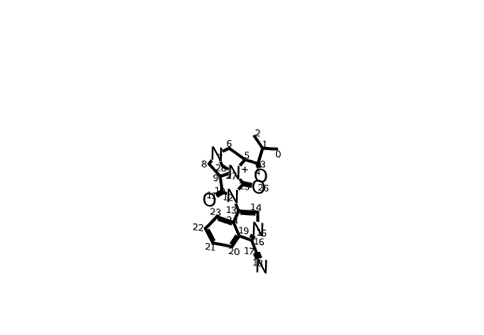 CC(C)C(=O)C1CN2CC3C(=O)N(c4cnc(C#N)c5ccccc45)C(=O)[N+]13C2